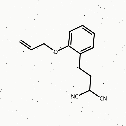 C=CCOc1ccccc1CCC(C#N)C#N